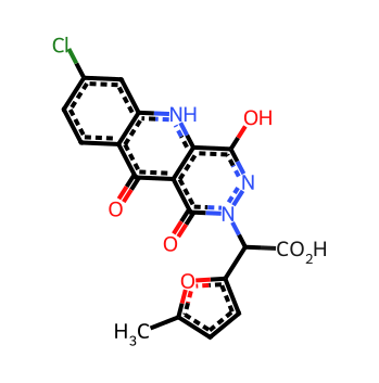 Cc1ccc(C(C(=O)O)n2nc(O)c3[nH]c4cc(Cl)ccc4c(=O)c3c2=O)o1